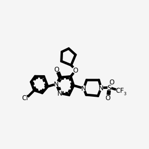 O=c1c(OC2CCCC2)c(N2CCN(S(=O)(=O)C(F)(F)F)CC2)cnn1-c1cccc(Cl)c1